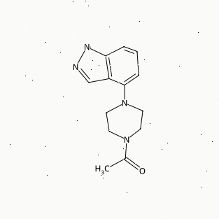 CC(=O)N1CCN(c2cccc3c2C=N[N]3)CC1